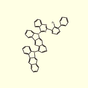 CCc1c(-c2ccccc2)cccc1-c1nc(-n2c3ccccc3c3cc4c(-n5c6ccccc6c6cc7ccccc7cc65)cccc4cc32)c2ccccc2n1